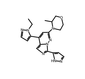 CCn1nccc1-c1cc(N2CCOCC2C)nn2c(-c3ccn[nH]3)ncc12